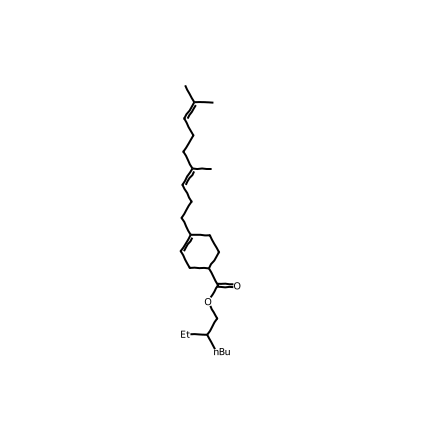 CCCCC(CC)COC(=O)C1CC=C(CC/C=C(\C)CCC=C(C)C)CC1